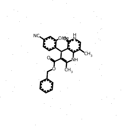 COc1cc(C#N)ccc1C1C(C(=O)OCc2ccccc2)=C(C)Nc2c(C)c[nH]c(=O)c21